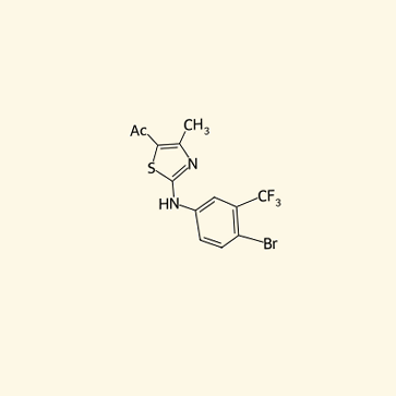 CC(=O)c1sc(Nc2ccc(Br)c(C(F)(F)F)c2)nc1C